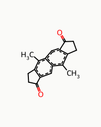 Cc1c2c(cc3c(C)c4c(cc13)C(=O)CC4)C(=O)CC2